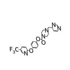 O=C(Oc1ccc(Oc2ccc(C(F)(F)F)cn2)cc1)N1CCN(Cc2ccncn2)CC1